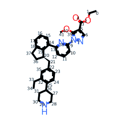 CCOC(=O)c1cnn(-c2cccc(-c3cccc4c3[C@@H](Cc3ccc(C5CCNCC5)c(CC)c3)CC4)n2)c1OC